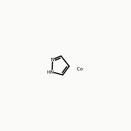 [Co].c1cn[nH]c1